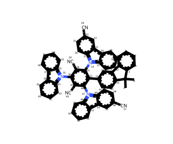 CC1(C)c2ccccc2-c2cc(-c3c(-n4c5ccccc5c5cc(C#N)ccc54)c(C#N)c(-n4c5ccccc5c5ccccc54)c(C#N)c3-n3c4ccccc4c4cc(C#N)ccc43)ccc21